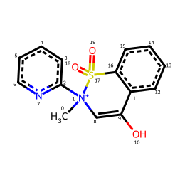 C[N+]1(c2ccccn2)C=C(O)c2ccccc2S1(=O)=O